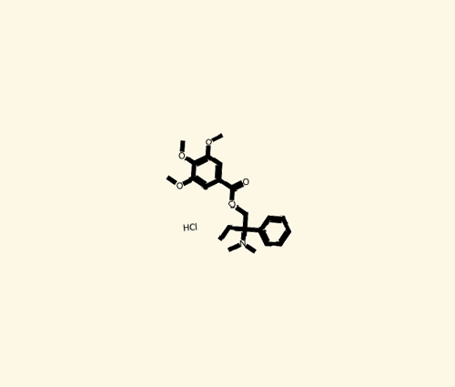 CCC(COC(=O)c1cc(OC)c(OC)c(OC)c1)(c1ccccc1)N(C)C.Cl